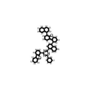 c1ccc(-c2nc(-c3ccc(-c4cccc5oc6c(-c7cccc8ccccc78)cccc6c45)c4ccccc34)nc(-c3cccc4c3oc3ccccc34)n2)cc1